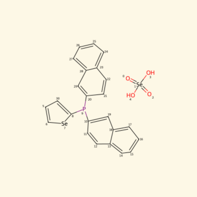 O=[Se](=O)(O)O.c1c[se]c(P(c2ccc3ccccc3c2)c2ccc3ccccc3c2)c1